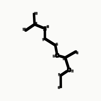 CCOC(C)OCCSC(C)C